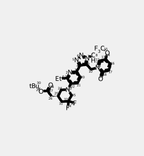 CCc1nc(-c2nnn(C)c2Cn2cc(OC(F)(F)F)ccc2=O)ccc1N1C[C@@H](CC(=O)OC(C)(C)C)CC(F)(F)C1